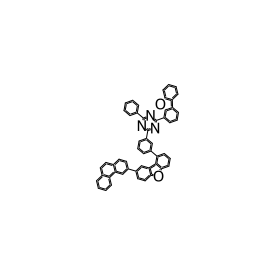 c1ccc(-c2nc(-c3cccc(-c4cccc5oc6ccc(-c7ccc8ccc9ccccc9c8c7)cc6c45)c3)nc(-c3cccc4c3oc3ccccc34)n2)cc1